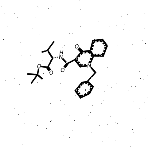 CC(C)[C@H](NC(=O)c1cn(Cc2ccccc2)c2ccccc2c1=O)C(=O)OC(C)(C)C